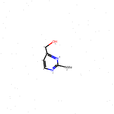 CNc1nccc(CO)n1